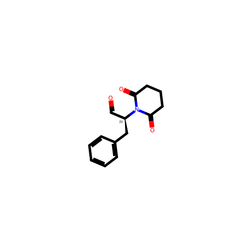 O=[C][C@H](Cc1ccccc1)N1C(=O)CCCC1=O